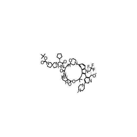 CO[C@@H](C)c1ncc(N2CCN(C)CC2)cc1-c1c2c3cc(ccc3n1CC(F)(F)F)N1CCO[C@@H](C[C@H](NC(=O)[C@H](C3CCCC3)N3CC[C@]4(CCN(C(=O)OC(C)(C)C)C4)C3)C(=O)N3CCC[C@H](N3)C(=O)OCC(C)(C)C2)C1